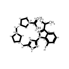 CC(C)c1nn(-c2noc(C[C@@H]3CCN(C[C@@H]4CCN(C(=O)O)C4)C3)n2)c2c(F)cccc12